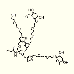 CCCC(=O)NC(COCC1=CN(CCOCCOCCO)NN1C)(COCc1cn(CCOCCOCCO[C@@H]2OC(C)[C@H](O)CC2O)nn1)COCc1cn(CCOCCOCCO[C@@H]2OC(CO)[C@H](O)CC2O)nn1